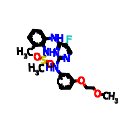 COCCOc1cccc(Nc2ncc(F)c(Nc3cccc(C)c3NS(C)(=O)=O)n2)c1